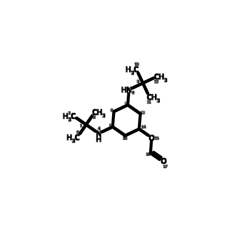 CC(C)(C)NC1CC(NC(C)(C)C)CC(OC=O)C1